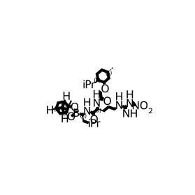 CC(C)C[C@H](NC(=O)[C@H](CCCNC(=N)N[N+](=O)[O-])NC(=O)COC1C[C@@H](C)CC[C@@H]1C(C)C)B1O[C@@H]2C[C@@H]3C[C@@H](C3(C)C)[C@]2(C)O1